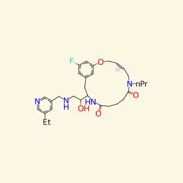 CCCN1C/C=C\COc2cc(F)cc(c2)CC(C(O)CNCc2cncc(CC)c2)NC(=O)CCCC1=O